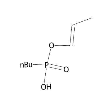 CC=COP(=O)(O)CCCC